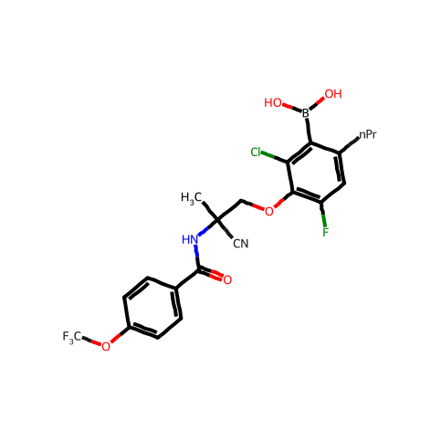 CCCc1cc(F)c(OCC(C)(C#N)NC(=O)c2ccc(OC(F)(F)F)cc2)c(Cl)c1B(O)O